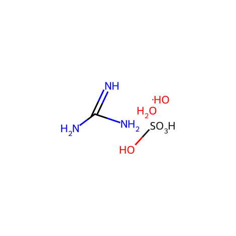 N=C(N)N.O.O=S(=O)(O)O.[OH]